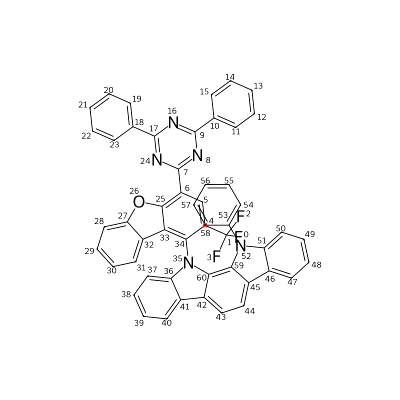 FC(F)(F)c1cc(-c2nc(-c3ccccc3)nc(-c3ccccc3)n2)c2oc3ccccc3c2c1-n1c2ccccc2c2ccc3c4ccccc4n(-c4ccccc4)c3c21